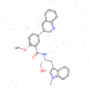 CCCOc1ccc(-c2cnc3ccccc3c2)cc1C(=O)N[C@@H](CO)Cc1cn(C)c2ccccc12